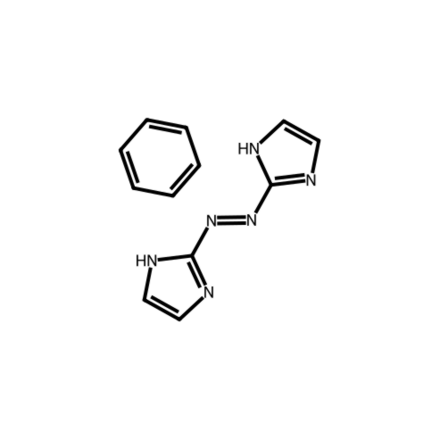 c1c[nH]c(N=Nc2ncc[nH]2)n1.c1ccccc1